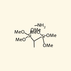 CN.CO[Si](OC)(OC)C(C)[Si](OC)(OC)OC